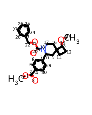 COC(=O)c1ccc(C2CC3(CCC3OC)CCN2C(=O)OCc2ccccc2)cc1